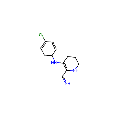 N=CC1=C(NC2C=CC(Cl)=CC2)CCCN1